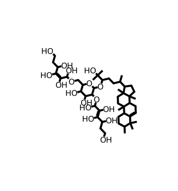 CC(CCC(OC1OC(COC(O)/C(O)=C(/O)C(O)CCO)C(O)C(O)C1OC(O)/C(O)=C(\O)C(O)CCO)C(C)(C)O)C1CCC2(C)C3CC=C4C(CCC(C)C4(C)C)C3(C)CCC12C